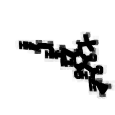 CC(C)(C)Cn1c(=O)c(C(=O)NC2CC2)c(O)n2nc(N/C=C\C=N)cc12